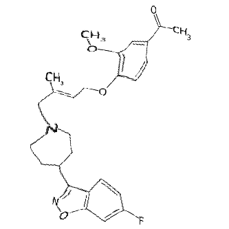 COc1cc(C(C)=O)ccc1OCC=C(C)CN1CCC(c2noc3cc(F)ccc23)CC1